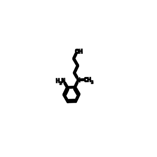 CN(CCCO)c1ccccc1N